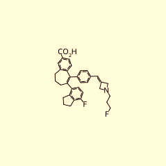 O=C(O)c1ccc2c(c1)CCCC(c1ccc(F)c3c1CCC3)=C2c1ccc(C=C2CN(CCCF)C2)cc1